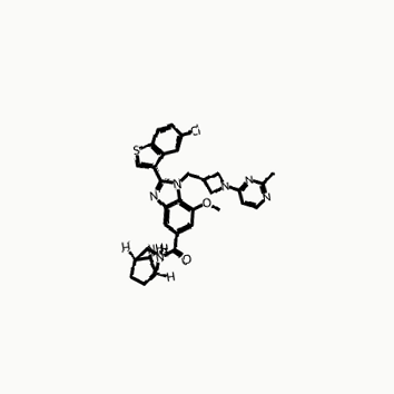 COc1cc(C(=O)N2C[C@H]3CC[C@@H]2[C@@H]3N)cc2nc(-c3csc4ccc(Cl)cc34)n(CC3CN(c4ccnc(C)n4)C3)c12